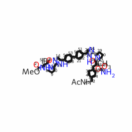 COC(=O)N[C@H](C(=O)N1CCCC1c1ncc(-c2ccc(-c3ccc(-c4cnc([C@@H]5CCCN5C(=O)[C@](C)(Cc5ccc(CNC(C)=O)cc5)OC(N)=O)[nH]4)cc3)cc2)[nH]1)C(C)C